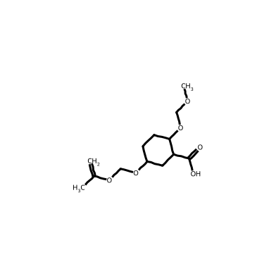 C=C(C)OCOC1CCC(OCOC)C(C(=O)O)C1